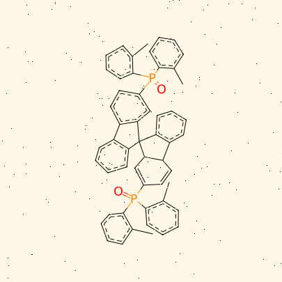 Cc1ccccc1P(=O)(C1=CC2C(C=C1)c1ccccc1C21c2ccccc2-c2ccc(P(=O)(c3ccccc3C)c3ccccc3C)cc21)c1ccccc1C